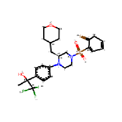 CC(O)(c1ccc(N2CCN(S(=O)(=O)C3=CC=CCC3=S)C[C@@H]2CC2CCOCC2)cc1)C(F)(F)F